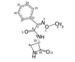 CON=C(C(=O)N[C@H]1CNC1=O)c1ccccc1